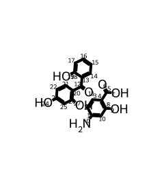 Nc1ccc(C(=O)O)c(O)c1.O=C(c1ccccc1O)c1ccc(O)cc1O